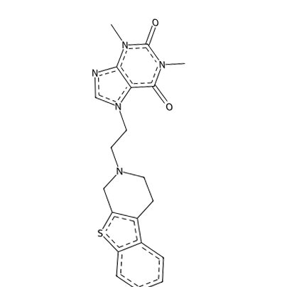 Cn1c(=O)c2c(ncn2CCN2CCc3c(sc4ccccc34)C2)n(C)c1=O